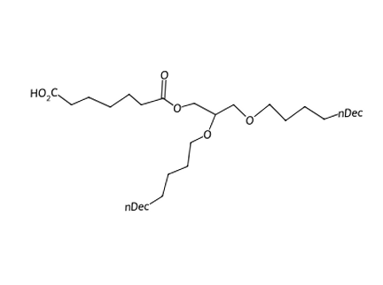 CCCCCCCCCCCCCCOCC(COC(=O)CCCCCC(=O)O)OCCCCCCCCCCCCCC